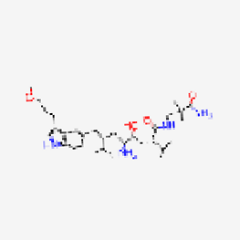 COCCCc1c[nH]c2ccc(C[C@@H](C[C@H](N)[C@@H](O)C[C@H](C(=O)NCC(C)(C)C(N)=O)C(C)C)C(C)C)cc12